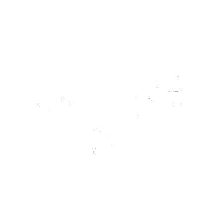 O=C(c1ccc(-c2ccc3c(c2)CC2(CCCCCCCC2)CN3)cc1C(F)(F)F)N1CCN(C(=O)C2(O)CC2)CC1